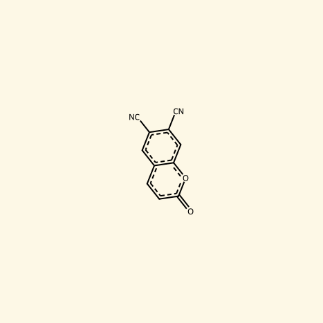 N#Cc1cc2ccc(=O)oc2cc1C#N